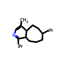 CC1=CN=C(C(C)C)C2CCCC(C(C)C)CCC12